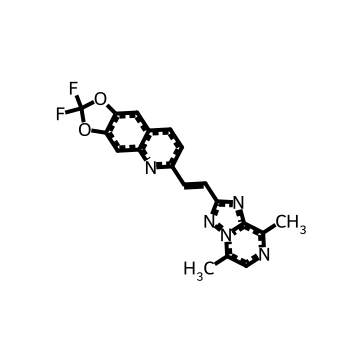 Cc1ncc(C)n2nc(/C=C/c3ccc4cc5c(cc4n3)OC(F)(F)O5)nc12